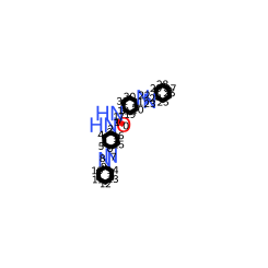 O=C(NC1CCC(N=NC2CCCCC2)CC1)NC1CCC(N=NC2CCCCC2)CC1